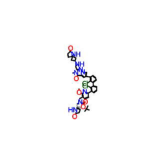 COc1nc(-c2cccc(-c3cccc(-c4cc5c(=O)n(C)c(CNC6CC7(CCC(=O)N7)C6)nn5c4)c3Cl)c2Cl)ccc1CN(C[C@@H]1CCC(=O)N1)C(=O)OC(C)(C)C